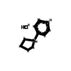 Cl.c1cc(N2CCCC2)ccn1